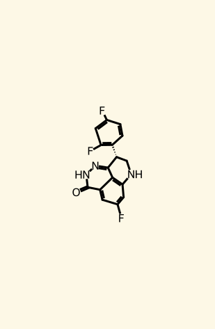 O=c1[nH]nc2c3c(cc(F)cc13)NC[C@H]2c1ccc(F)cc1F